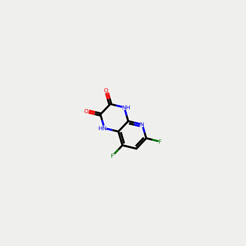 O=c1[nH]c2nc(F)cc(F)c2[nH]c1=O